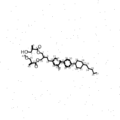 C=C(CO)C(=O)OCC(CCc1ccc(-c2ccc(C3CCC(CCCCC)CC3)cc2)c(F)c1)COC(=O)C(=C)COC